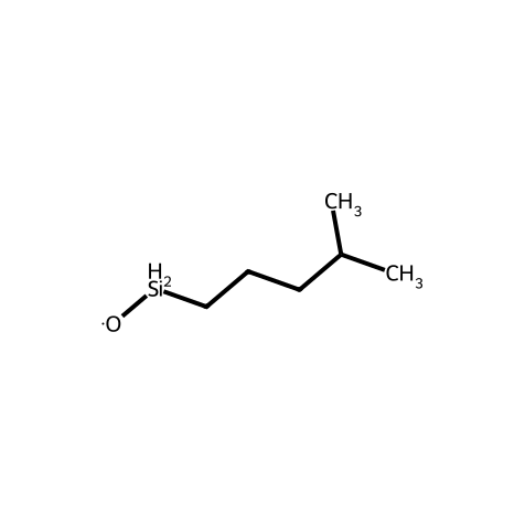 CC(C)CCC[SiH2][O]